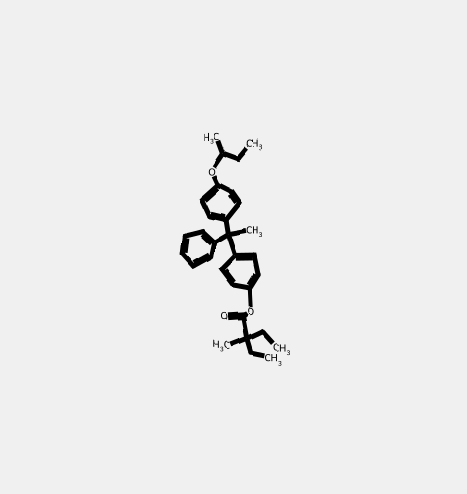 CCC(C)Oc1ccc(C(C)(c2ccccc2)c2ccc(OC(=O)C(C)(CC)CC)cc2)cc1